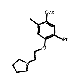 CC(=O)Oc1cc(C(C)C)c(OCCN2CCCC2)cc1C